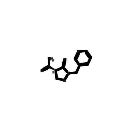 NC(=O)[C@H]1CON(Cc2cccnc2)C1=O